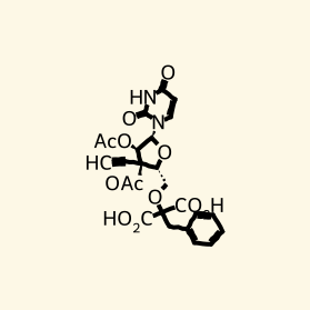 C#C[C@@]1(OC(C)=O)[C@@H](COC(Cc2ccccc2)(C(=O)O)C(=O)O)O[C@@H](n2ccc(=O)[nH]c2=O)[C@@H]1OC(C)=O